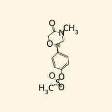 CN1C[C@@H](c2ccc(OS(C)(=O)=O)cc2)OCC1=O